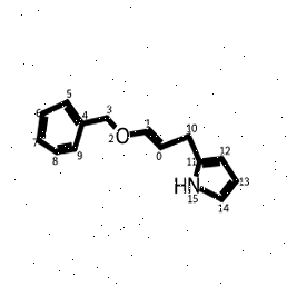 C(=COCc1ccccc1)Cc1ccc[nH]1